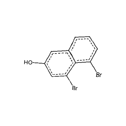 Oc1cc(Br)c2c(Br)cccc2c1